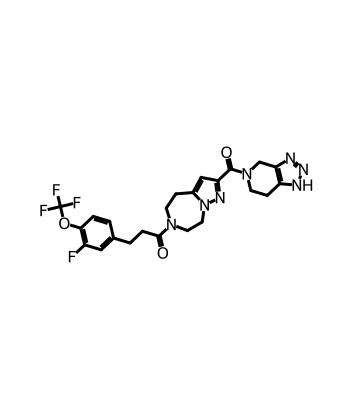 O=C(CCc1ccc(OC(F)(F)F)c(F)c1)N1CCc2cc(C(=O)N3CCc4[nH]nnc4C3)nn2CC1